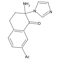 CC(=O)c1ccc2c(c1)C(=O)C(N)(n1ccnc1)CC2